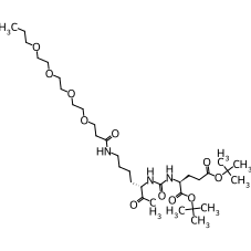 CCCOCCOCCOCCOCCC(=O)NCCCC[C@H](NC(=O)N[C@@H](CCC(=O)OC(C)(C)C)C(=O)OC(C)(C)C)C(C)=O